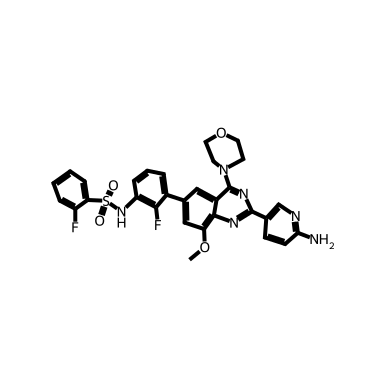 COc1cc(-c2cccc(NS(=O)(=O)c3ccccc3F)c2F)cc2c(N3CCOCC3)nc(-c3ccc(N)nc3)nc12